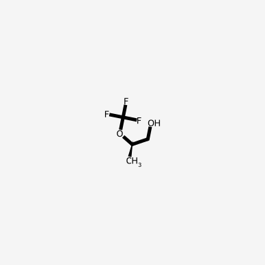 C[C@H](CO)OC(F)(F)F